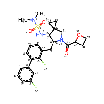 CN(C)S(=O)(=O)N[C@@H]1[C@H](Cc2cccc(-c3cccc(F)c3)c2F)N(C(=O)C2CCO2)CC12CC2